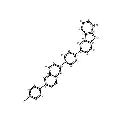 Fc1ccc(-c2ccc3cc(-c4ccc(-c5ccc6oc7ncccc7c6c5)cc4)cnc3c2)cc1